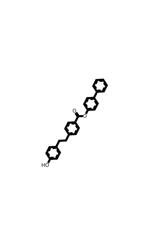 O=C(Oc1ccc(-c2ccccc2)cc1)c1ccc(CCc2ccc(O)cc2)cc1